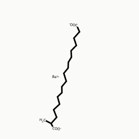 CC(CCCCCCCCCCCCCCCC(=O)[O-])C(=O)[O-].[Ba+2]